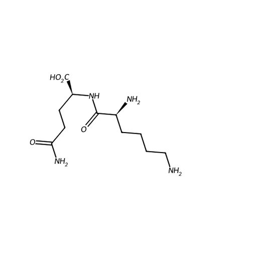 NCCCC[C@H](N)C(=O)N[C@@H](CCC(N)=O)C(=O)O